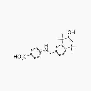 CC1(C)CC(O)C(C)(C)c2cc(CNc3ccc(C(=O)O)cc3)ccc21